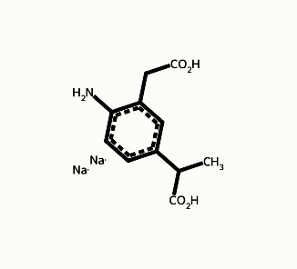 CC(C(=O)O)c1ccc(N)c(CC(=O)O)c1.[Na].[Na]